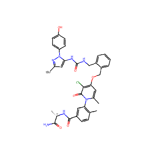 Cc1ccc(C(=O)N[C@@H](C)C(N)=O)cc1-n1c(C)cc(OCc2ccccc2CNC(=O)Nc2cc(C(C)(C)C)nn2-c2ccc(O)cc2)c(Cl)c1=O